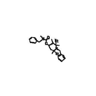 CCC1(C)CC(OC(=O)N(C)Cc2ccccc2)C(C)C(C)(CC)N1Cc1ccccc1